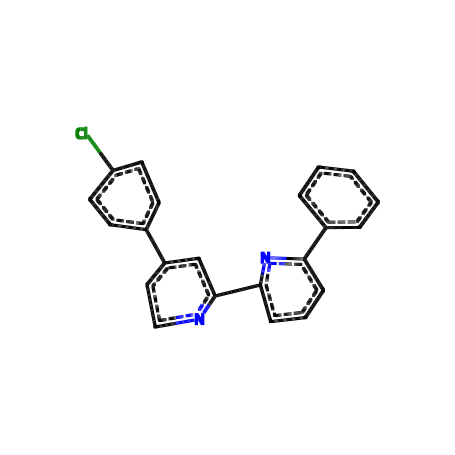 Clc1ccc(-c2ccnc(-c3cccc(-c4ccccc4)n3)c2)cc1